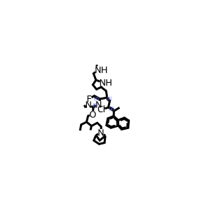 C=N\C(=N/C(=C\F)C(=C\C(Cl)=C(/C)c1cccc2ccccc12)/CC1CCC(CNC)N1)OCC(CC)C(C)CCN1C2CCCC1C2